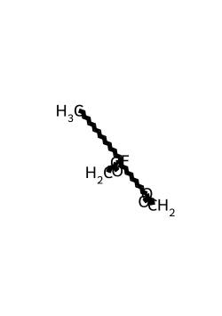 C=CC(=O)OCCCCCCCCCC(F)(CCCCCCCCCCCCCCCC)OC(=O)C=C